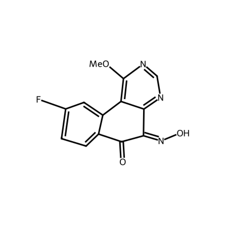 COc1ncnc2c1-c1cc(F)ccc1C(=O)/C2=N/O